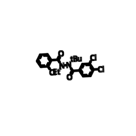 CCN(C(=O)c1ccccc1Cl)N(C(=O)c1ccc(Cl)c(Cl)c1)C(C)(C)C